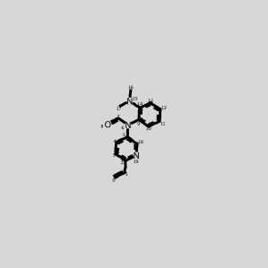 C=Cc1ccc(N(C=O)c2ccccc2N(C)C)cn1